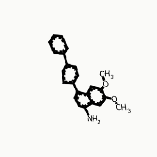 COc1cc2c(N)ccc(-c3ccc(-c4ccccc4)cc3)c2cc1OC